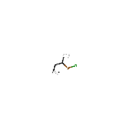 O=C(O)CC(SCl)C(=O)O